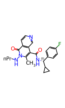 CCCNn1c(C)c(C(=O)N[C@H](c2ccc(F)cc2)C2CC2)c2cnccc2c1=O